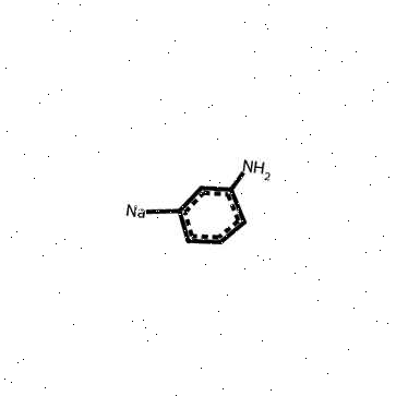 Nc1ccc[c]([Na])c1